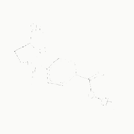 COC(=O)c1ccc([SH]2(=O)CCC(C)N2)cc1